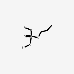 CCCOP(=O)(OF)OBr